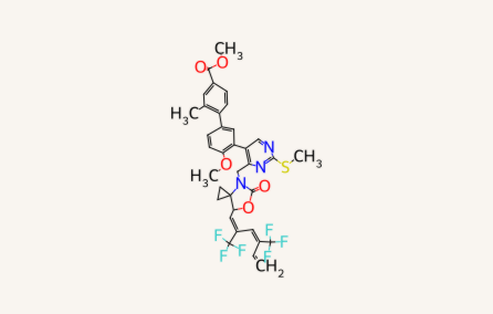 C=C/C(=C\C(=C/C1OC(=O)N(Cc2nc(SC)ncc2-c2cc(-c3ccc(C(=O)OC)cc3C)ccc2OC)C12CC2)C(F)(F)F)C(F)(F)F